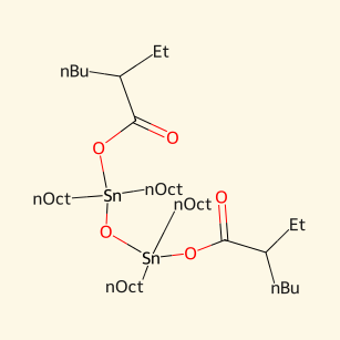 CCCCCCC[CH2][Sn]([CH2]CCCCCCC)([O]C(=O)C(CC)CCCC)[O][Sn]([CH2]CCCCCCC)([CH2]CCCCCCC)[O]C(=O)C(CC)CCCC